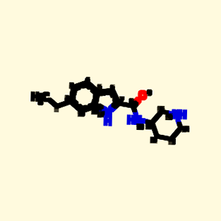 CCc1ccc2cc(C(=O)N[C@@H]3CCCNC3)[nH]c2c1